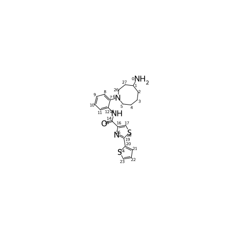 NC1CCCCN(c2ccccc2NC(=O)c2csc(-c3cccs3)n2)CC1